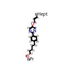 CCCCCCC/C=C/COc1cnc(-c2ccc(CCCCCOCCC)cc2)nc1